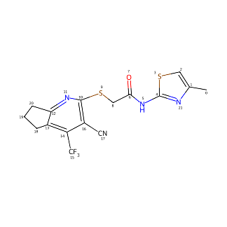 Cc1csc(NC(=O)CSc2nc3c(c(C(F)(F)F)c2C#N)CCC3)n1